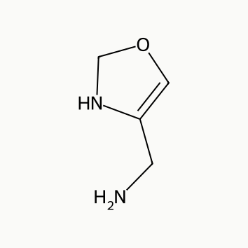 NCC1=COCN1